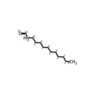 CCCCCCCCCCCN[C]=O